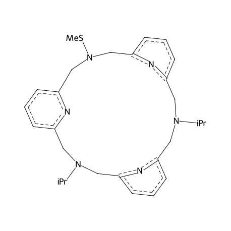 CSN1Cc2cccc(n2)CN(C(C)C)Cc2cccc(n2)CN(C(C)C)Cc2cccc(n2)C1